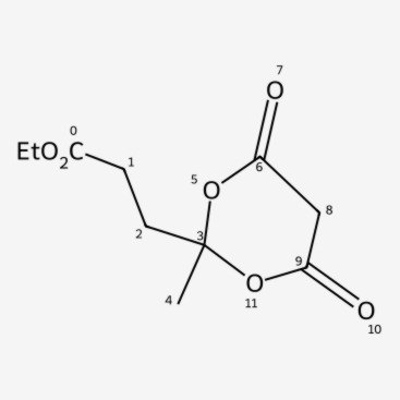 CCOC(=O)CCC1(C)OC(=O)CC(=O)O1